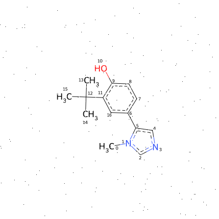 Cn1cncc1-c1ccc(O)c(C(C)(C)C)c1